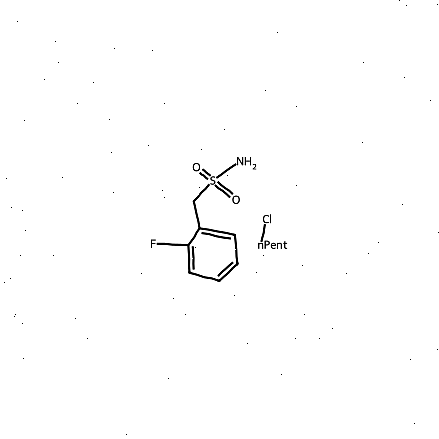 CCCCCCl.NS(=O)(=O)Cc1ccccc1F